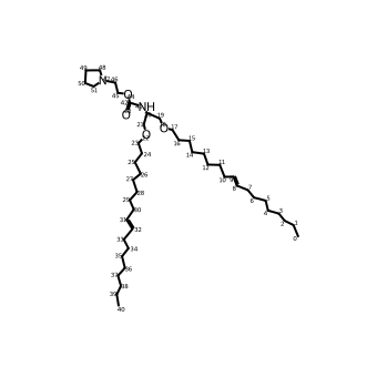 CCCCCCCCC=CCCCCCCCCOCC(COCCCCCCCCC=CCCCCCCCC)NC(=O)OCCN1CCCC1